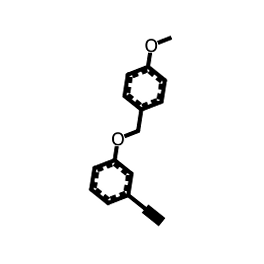 C#Cc1cccc(OCc2ccc(OC)cc2)c1